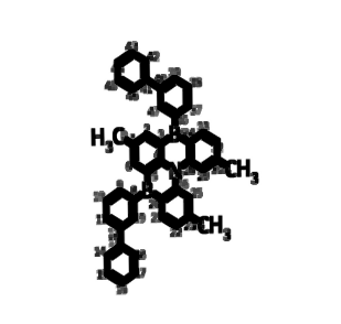 Cc1cc2c3c(c1)B(c1cccc(-c4ccccc4)c1)c1ccc(C)cc1N3c1cc(C)ccc1B2c1cccc(-c2ccccc2)c1